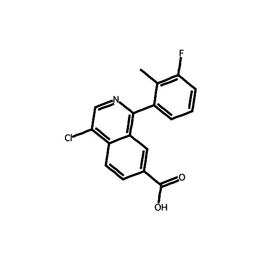 Cc1c(F)cccc1-c1ncc(Cl)c2ccc(C(=O)O)cc12